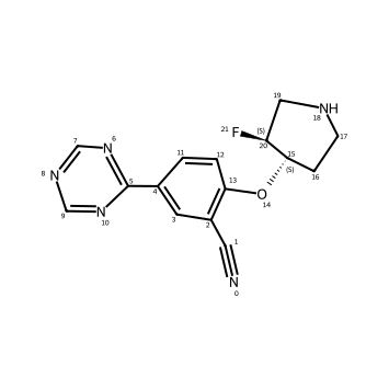 N#Cc1cc(-c2ncncn2)ccc1O[C@H]1CCNC[C@@H]1F